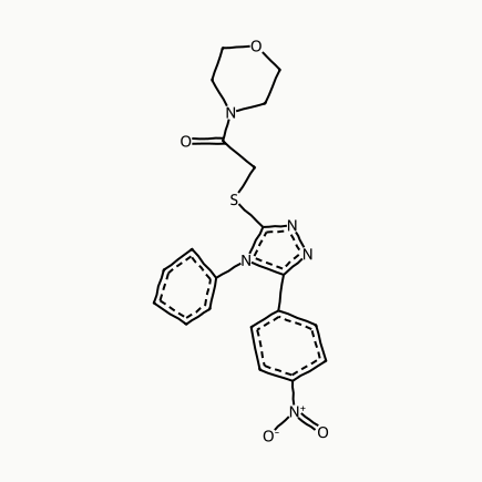 O=C(CSc1nnc(-c2ccc([N+](=O)[O-])cc2)n1-c1ccccc1)N1CCOCC1